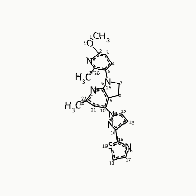 COc1ccc(N2CCc3c(-n4ccc(-c5nccs5)n4)cc(C)nc32)c(C)n1